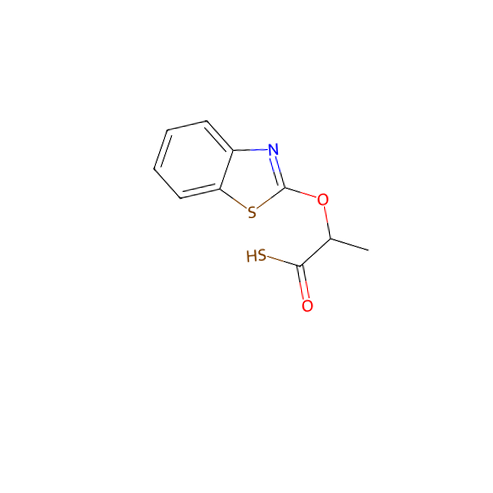 CC(Oc1nc2ccccc2s1)C(=O)S